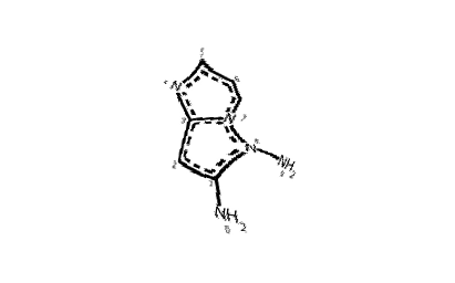 Nc1cc2nccn2n1N